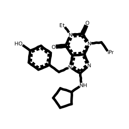 CCn1c(=O)c2c(nc(NC3CCCC3)n2Cc2ccc(O)cc2)n(CC(C)C)c1=O